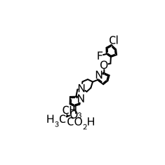 CC(C)(Oc1ccc(CN2CCC(c3cccc(OCc4ccc(Cl)cc4F)n3)CC2)nc1)C(=O)O